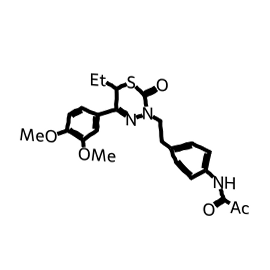 CCC1SC(=O)N(CCc2ccc(NC(=O)C(C)=O)cc2)N=C1c1ccc(OC)c(OC)c1